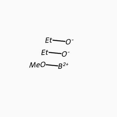 CC[O-].CC[O-].[B+2]OC